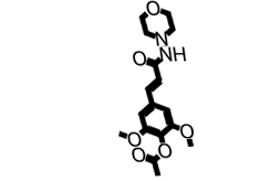 COc1cc(/C=C/C(=O)NN2CCOCC2)cc(OC)c1OC(C)=O